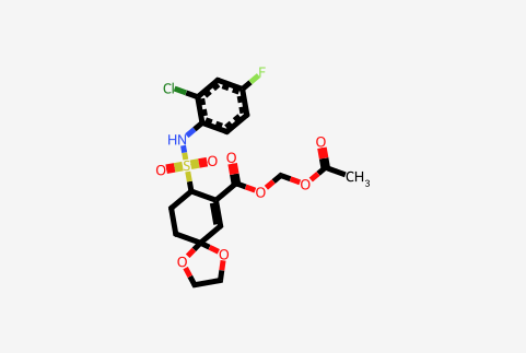 CC(=O)OCOC(=O)C1=CC2(CCC1S(=O)(=O)Nc1ccc(F)cc1Cl)OCCO2